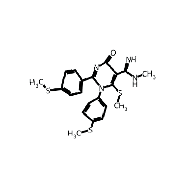 CNC(=N)c1c(SC)n(-c2ccc(SC)cc2)c(-c2ccc(SC)cc2)nc1=O